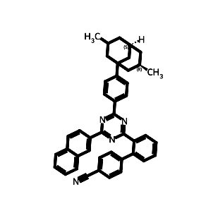 CC1C[C@H]2C[C@@H](C)CC(c3ccc(-c4nc(-c5ccc6ccccc6c5)nc(-c5ccccc5-c5ccc(C#N)cc5)n4)cc3)(C1)C2